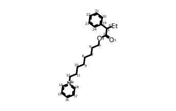 CCC(C(=O)OCCCCCCCC[n+]1ccccc1)c1ccccc1